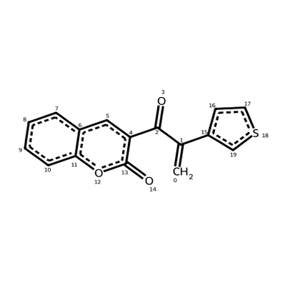 C=C(C(=O)c1cc2ccccc2oc1=O)c1ccsc1